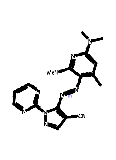 CNc1nc(N(C)C)cc(C)c1/N=N/c1c(C#N)cnn1-c1ncccn1